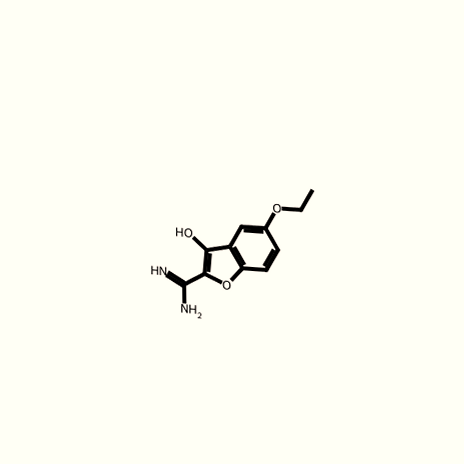 CCOc1ccc2oc(C(=N)N)c(O)c2c1